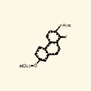 CCCCCCCCOc1ccc2c(ccc3c(F)c(CCCCCC)ccc32)c1